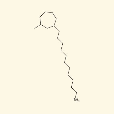 BCCCCCCCCCCCC1CCCCC(C)C1